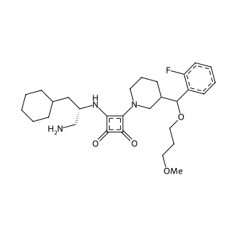 COCCCOC(c1ccccc1F)C1CCCN(c2c(N[C@H](CN)CC3CCCCC3)c(=O)c2=O)C1